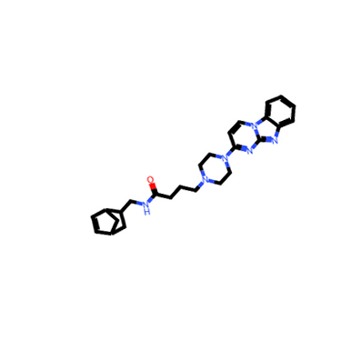 O=C(CCCN1CCN(c2ccn3c(n2)nc2ccccc23)CC1)NCC1CC2C=CC1C2